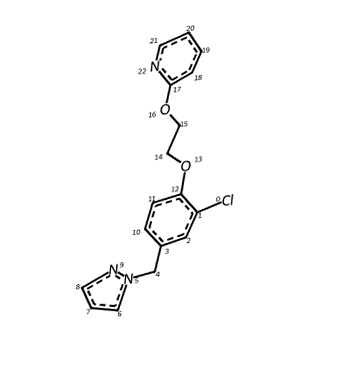 Clc1cc(Cn2cccn2)ccc1OCCOc1ccccn1